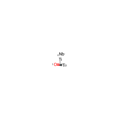 [Nb].[O]=[Ti].[Ti]